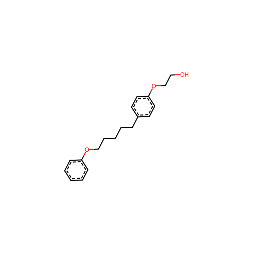 OCCOc1ccc(CCCCCOc2ccccc2)cc1